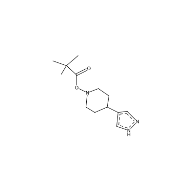 CC(C)(C)C(=O)ON1CCC(c2cn[nH]c2)CC1